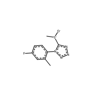 Cc1cc(F)ccc1-n1nnnc1[S+](C)[O-]